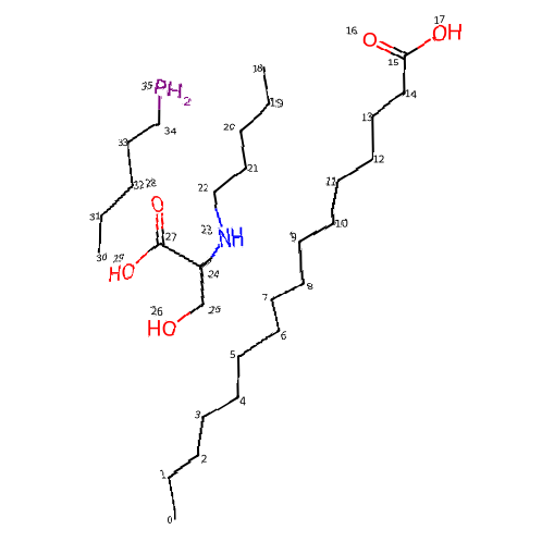 CCCCCCCCCCCCCCCC(=O)O.CCCCCNC(CO)C(=O)O.CCCCCP